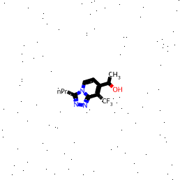 CCCc1nnc2c(C(F)(F)F)c(C(C)O)ccn12